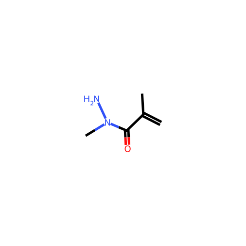 C=C(C)C(=O)N(C)N